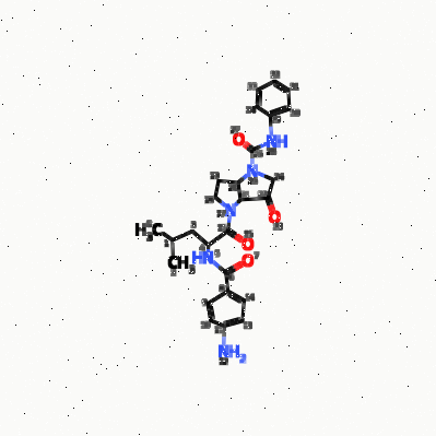 CC(C)CC(NC(=O)c1ccc(N)cc1)C(=O)N1CCC2C1C(=O)CN2C(=O)Nc1ccccc1